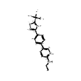 CCNc1ccc(-c2ccc(-c3noc(C(F)(F)F)n3)cc2)cn1